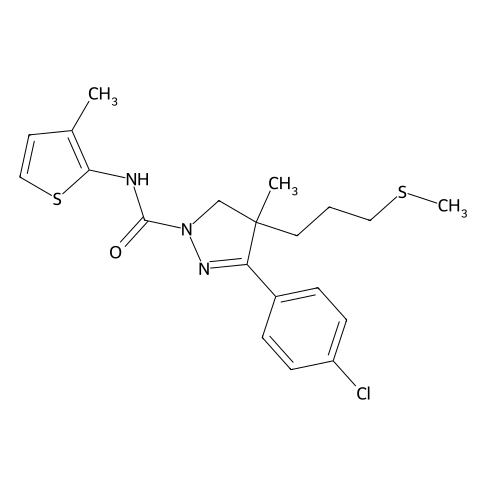 CSCCCC1(C)CN(C(=O)Nc2sccc2C)N=C1c1ccc(Cl)cc1